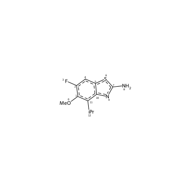 COc1c(F)cc2sc(N)nc2c1C(C)C